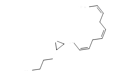 CCCCC/C=C\C/C=C\C/C=C\C[C@H]1O[C@H]1CCCC(=O)O